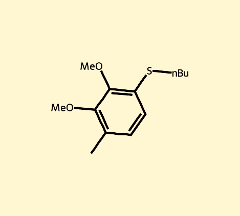 CCCCSc1ccc(C)c(OC)c1OC